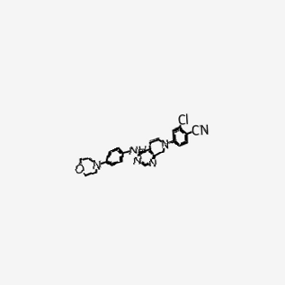 N#Cc1ccc(N2CCc3c(ncnc3Nc3ccc(N4CCOCC4)cc3)C2)cc1Cl